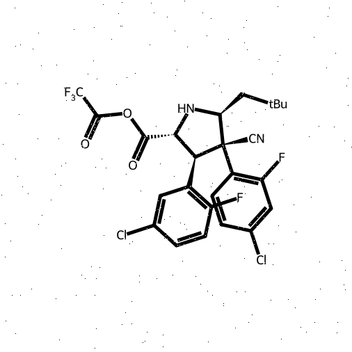 CC(C)(C)C[C@@H]1N[C@@H](C(=O)OC(=O)C(F)(F)F)[C@H](c2cc(Cl)ccc2F)[C@@]1(C#N)c1ccc(Cl)cc1F